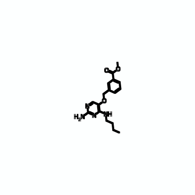 CCCCNc1nc(N)ncc1OCc1cccc(C(=O)OC)c1